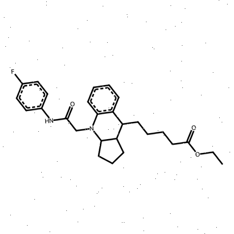 CCOC(=O)CCCCC1c2ccccc2N(CC(=O)Nc2ccc(F)cc2)C2CCCC12